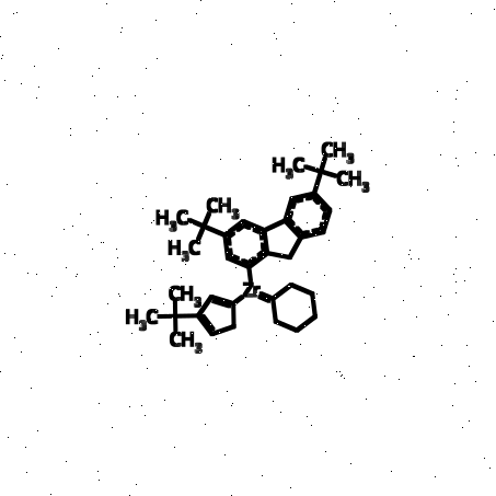 CC(C)(C)C1=CC[C]([Zr](=[C]2CCCCC2)[c]2cc(C(C)(C)C)cc3c2Cc2ccc(C(C)(C)C)cc2-3)=C1